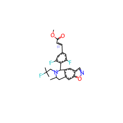 COC(=O)/C=C/c1cc(F)c(C2c3cc4cnoc4cc3CC(C)N2CC(C)(C)F)c(F)c1